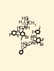 CC(C)(CO)CONC(=O)c1cc(Br)c(F)cc1Nc1ccc(I)cc1F.O=C(NOCC(O)COc1ccccc1)c1cc(Br)c(F)cc1Nc1ccc(I)cc1F